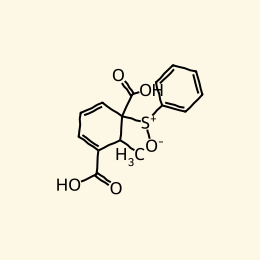 CC1C(C(=O)O)=CC=CC1(C(=O)O)[S+]([O-])c1ccccc1